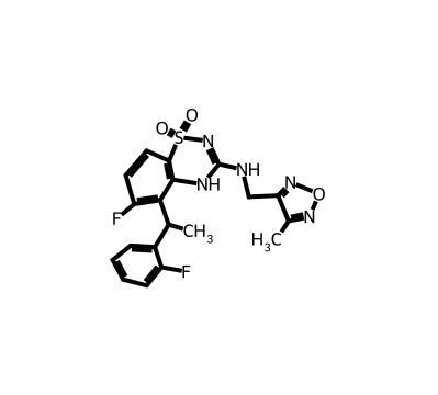 Cc1nonc1CNC1=NS(=O)(=O)c2ccc(F)c(C(C)c3ccccc3F)c2N1